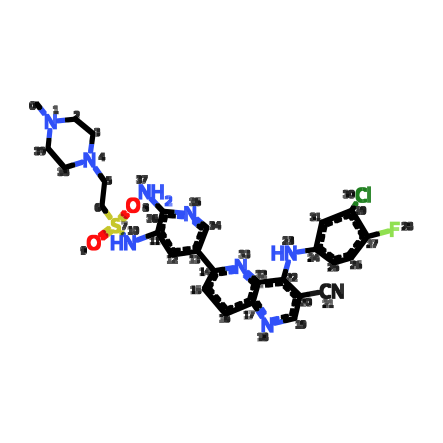 CN1CCN(CCS(=O)(=O)Nc2cc(-c3ccc4ncc(C#N)c(Nc5ccc(F)c(Cl)c5)c4n3)cnc2N)CC1